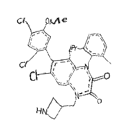 COc1cc(-c2c(Cl)cc3c(c2F)n(-c2c(C)cccc2C(C)C)c(=O)c(=O)n3CC2CNC2)c(Cl)cc1Cl